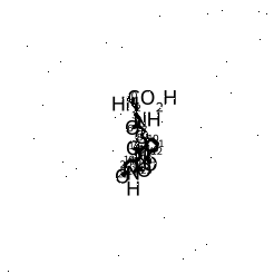 O=C(O)NCCNC(=O)COc1cccc2c1C(=O)N(C1CCC(=O)NC1=O)C2=O